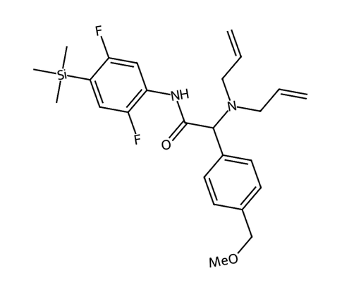 C=CCN(CC=C)C(C(=O)Nc1cc(F)c([Si](C)(C)C)cc1F)c1ccc(COC)cc1